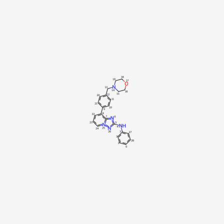 c1ccc(Nc2nc3c(-c4ccc(CN5CCOCC5)cc4)cccn3n2)cc1